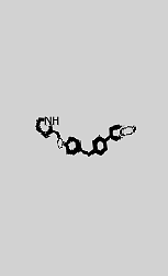 c1cc(-c2ccc(Cc3ccc(OC[C@H]4CCCN4)cc3)cc2)co1